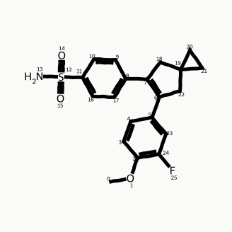 COc1ccc(C2=C(c3ccc(S(N)(=O)=O)cc3)CC3(CC3)C2)cc1F